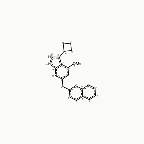 COc1cc(Cc2ccc3ccccc3c2)nc2n[nH]c(C3CCC3)c12